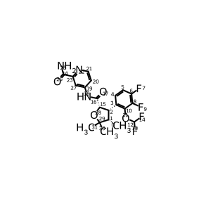 C[C@H]1[C@@H](c2ccc(F)c(F)c2OC(F)F)[C@@H](C(=O)Nc2ccnc(C(N)=O)c2)OC1(C)C